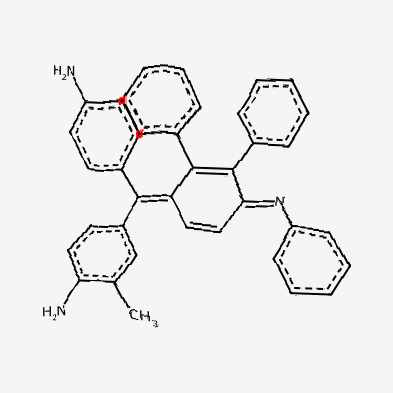 Cc1cc(C(=C2C=CC(=Nc3ccccc3)C(c3ccccc3)=C2c2ccccc2)c2ccc(N)cc2)ccc1N